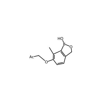 CC(=O)COc1ccc2c(c1C)B(O)OC2